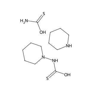 C1CCNCC1.NC(O)=S.OC(=S)NN1CCCCC1